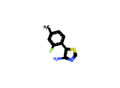 Cc1ccc(-c2scnc2N)c(F)c1